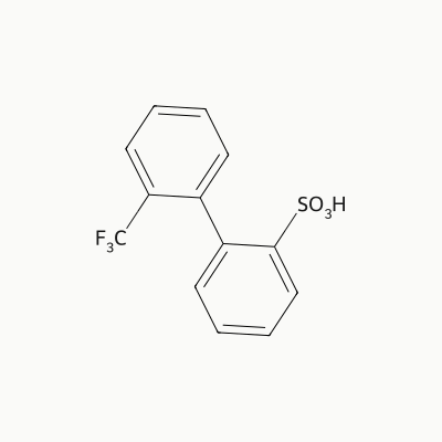 O=S(=O)(O)c1ccccc1-c1ccccc1C(F)(F)F